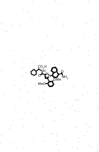 COc1cccc(OC)c1-c1cc(C(=O)N[C@H](C(=O)O)C2CCCCC2)nn1-c1ccc(C(N)=O)c2ccccc12